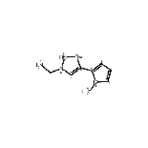 [CH2][SH]1C=CC=C1C1=CN(CN)NO1